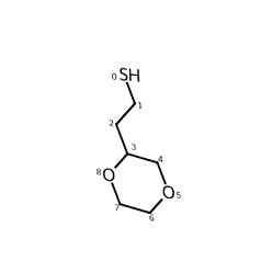 SCCC1COCCO1